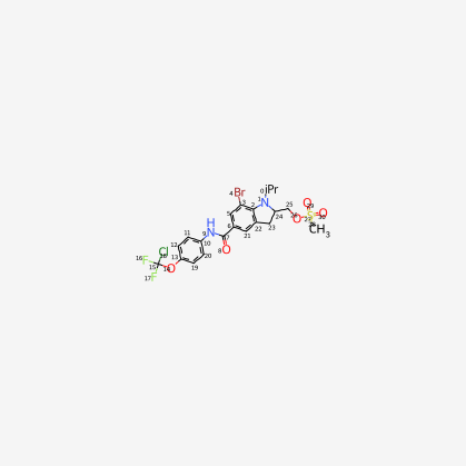 CC(C)N1c2c(Br)cc(C(=O)Nc3ccc(OC(F)(F)Cl)cc3)cc2CC1COS(C)(=O)=O